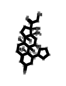 C[C@]12C[C@H](O)[C@H]3[C@@H](CCC4=CC(=O)CC(C5CCCC5)[C@@]43C)[C@@H]1CC[C@]2(O)C(=O)CO